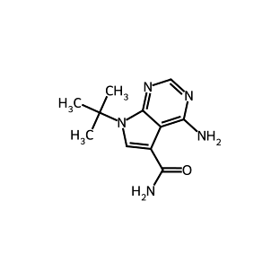 CC(C)(C)n1cc(C(N)=O)c2c(N)ncnc21